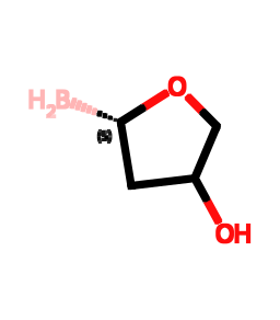 B[C@H]1CC(O)CO1